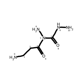 NCCC(=O)N(N)C(=O)NN